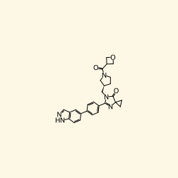 O=C(C1COC1)N1CC[C@@H](CN2C(=O)C3(CC3)N=C2c2ccc(-c3ccc4[nH]ncc4c3)cc2)C1